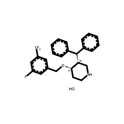 Cl.Fc1cc(CO[C@H]2CCNC[C@H]2C(c2ccccc2)c2ccccc2)cc(C(F)(F)F)c1